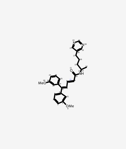 COc1cccc(C(=C/C=C/C(=O)NC(C)CCCc2cncnc2)c2cccc(OC)c2)c1